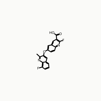 Cc1nc2c(F)cccc2cc1Oc1ccc2nc(F)c(C(=O)O)cc2c1